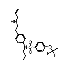 C=CCNCCc1ccc(N(CCC)S(=O)(=O)c2ccc(OC(F)(F)F)cc2)cc1